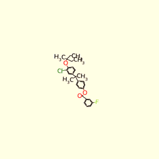 CCC(C)(CC)Oc1ccc(C(C)(C)c2ccc(OC(=O)c3cccc(F)c3)cc2)cc1Cl